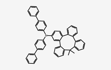 CC1(C)c2ccccc2-c2ccccc2-c2ccc(N(c3ccc(-c4ccccc4)cc3)c3ccc(-c4ccccc4)cc3)cc2-c2ccccc21